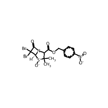 CC1(C)C(C(=O)OCc2ccc([N+](=O)[O-])cc2)N2C(=O)C(Br)(Br)[C@@H]2[S+]1[O-]